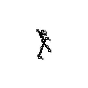 COCCOCCOCCN(CCOCCOI)c1ccc(/N=N/c2sc(C#N)c(C)c2C#N)c(C)c1